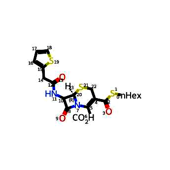 CCCCCCSC(=O)C1=C(C(=O)O)N2C(=O)C(NC(=O)Cc3cccs3)[C@H]2SC1